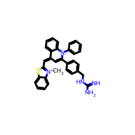 C[n+]1c(C=C2C=C(c3ccc(CNC(=N)N)cc3)N(c3ccccc3)c3ccccc32)sc2ccccc21